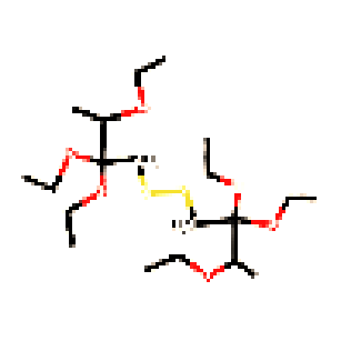 CCOC(C)C(OCC)(OCC)[SiH2]SS[SiH2]C(OCC)(OCC)C(C)OCC